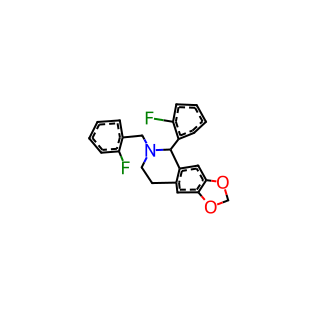 Fc1ccccc1CN1CCc2cc3c(cc2C1c1ccccc1F)OCO3